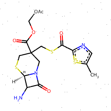 CC(=O)OCOC(=O)C1(CSC(=O)c2ncc(C)s2)CS[C@@H]2C(N)C(=O)N2C1